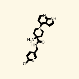 NC1(C(=O)NCc2ccc(Cl)nc2)CCN(c2ccnc3[nH]ccc23)CC1